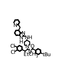 CCC(c1ccc(Cl)c(Cl)c1)C(N1CCC(Nc2nc3c(Cc4ccccn4)cccc3[nH]2)CC1)N(C)C(=O)c1ccc(C(C)(C)C)cc1